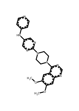 COc1cc2ncnc(N3CCN(c4ncc(Nc5ccncc5)cn4)CC3)c2cc1OC